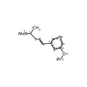 CNC(C)C/C=C/c1cncc(OC(C)C)c1